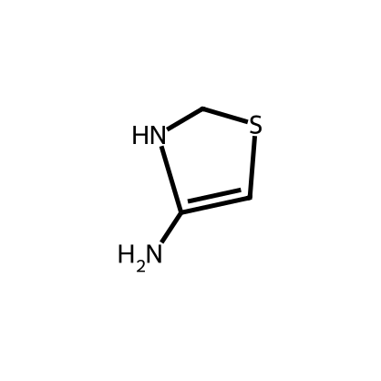 NC1=CSCN1